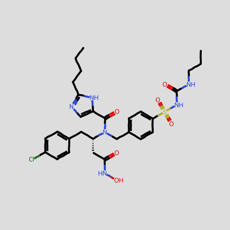 CCCCc1ncc(C(=O)N(Cc2ccc(S(=O)(=O)NC(=O)NCCC)cc2)[C@H](CC(=O)NO)Cc2ccc(Cl)cc2)[nH]1